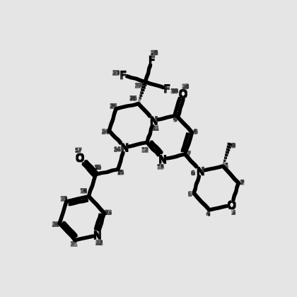 C[C@@H]1COCCN1c1cc(=O)n2c(n1)N(CC(=O)c1cccnc1)CC[C@@H]2C(F)(F)F